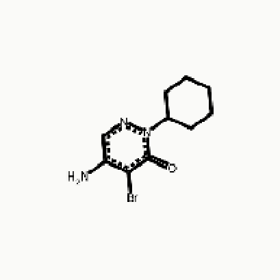 Nc1cnn(C2CCCCC2)c(=O)c1Br